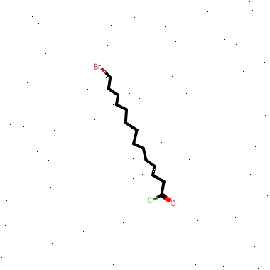 O=C(Cl)CCCCCCCCCCCCCBr